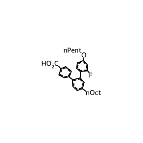 CCCCCCCCc1ccc(-c2ccc(C(=O)O)cc2)c(-c2ccc(OCCCCC)cc2F)c1